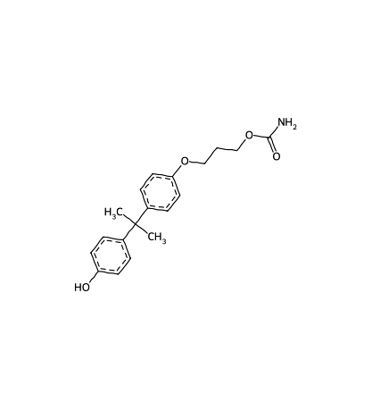 CC(C)(c1ccc(O)cc1)c1ccc(OCCCOC(N)=O)cc1